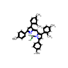 Cc1ccc(C2=CC(c3ccc(C(C)(C)C)cc3)=N/C2=C\c2c(-c3ccc(C)cc3C)cc(-c3ccc(C(C)(C)C)cc3)n2B(F)F)c(C)c1